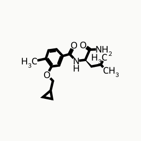 Cc1ccc(C(=O)N[C@H](CC(C)C)C(N)=O)cc1OCC1CC1